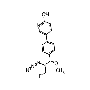 CO[C@H](c1ccc(-c2ccc(O)nc2)cc1)[C@@H](CF)N=[N+]=[N-]